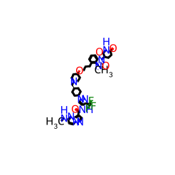 CNc1ccn2ncc(C(=O)Nc3cn([C@H]4CC[C@H](CN5CCC(OCCCc6cccc7c6n(C)c(=O)n7C6CCC(=O)NC6=O)CC5)CC4)nc3C(F)(F)F)c2n1